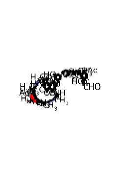 C=C(CC(C)(C)c1cc(P(=O)(O)CC=O)ccc1OC(C)=O)OC1CCN(c2cc(O)c3nc4c5c6c7c(C)c(O)c5c(=O)c(c-4oc3c2)NC(=O)/C(C)=C\C=C\[C@H](C)[C@H](O)[C@@H](C)[C@@H](O)[C@@H](C)[C@H](OC(C)=O)[C@H](C)[C@@H](C)/C=C/O[C@@](C)(O7)C6=O)CC1